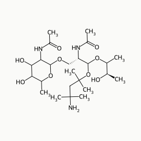 CC(=O)NC1C(OC[C@H](NC(C)=O)C(OC(C)[C@@H](C)O)OC(C)(C)CC(C)(C)N)OC(C)C(O)C1O